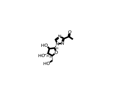 CC(=O)c1ncn([C@@H]2O[C@H](CO)[C@H](O)C2O)n1